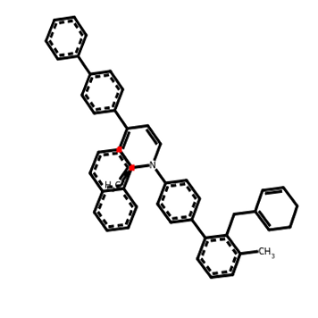 C=C/C=C(\C=C/N(c1ccc(-c2cccc(C)c2CC2=CCCC=C2)cc1)c1cccc2ccccc12)c1ccc(-c2ccccc2)cc1